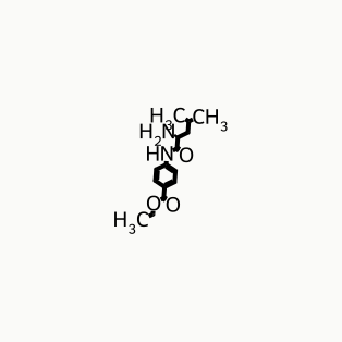 CCOC(=O)c1ccc(NC(=O)[C@@H](N)CC(C)C)cc1